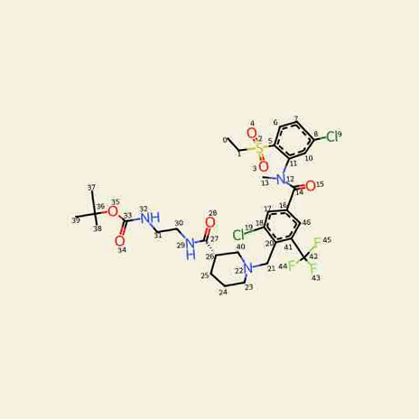 CCS(=O)(=O)c1ccc(Cl)cc1N(C)C(=O)c1cc(Cl)c(CN2CCC[C@H](C(=O)NCCNC(=O)OC(C)(C)C)C2)c(C(F)(F)F)c1